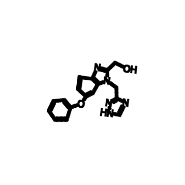 OCc1nc2ccc(Oc3ccccc3)cc2n1Cc1nc[nH]n1